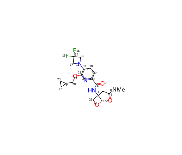 CNC(=O)CC1(NC(=O)c2ccc(N3CC(F)(F)C3)c(OCC3CC3)n2)COC1